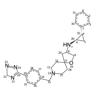 c1ccc([C@@H]2C[C@H]2NC2COC3(CCN(Cc4ccc(C5=NCN=N5)cc4)CC3)C2)cc1